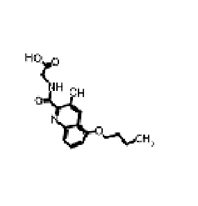 CCCCOc1cccc2nc(C(=O)NCC(=O)O)c(O)cc12